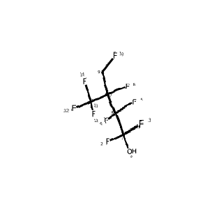 OC(F)(F)C(F)(F)C(F)(CF)C(F)(F)F